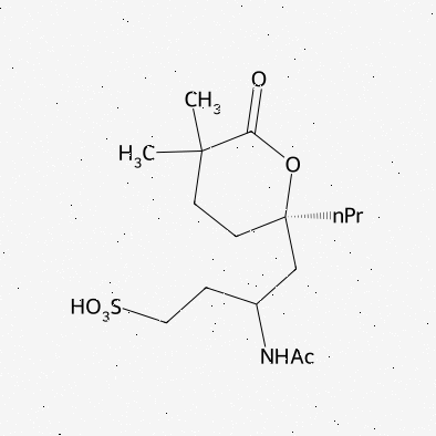 CCC[C@]1(CC(CCS(=O)(=O)O)NC(C)=O)CCC(C)(C)C(=O)O1